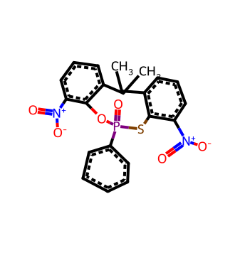 CCc1cccc([N+](=O)[O-])c1OP(=O)(Sc1c(CC)cccc1[N+](=O)[O-])c1ccccc1